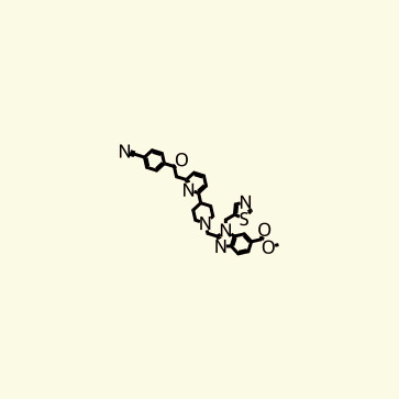 COC(=O)c1ccc2nc(CN3CCC(c4cccc(CC(=O)c5ccc(C#N)cc5)n4)CC3)n(Cc3cncs3)c2c1